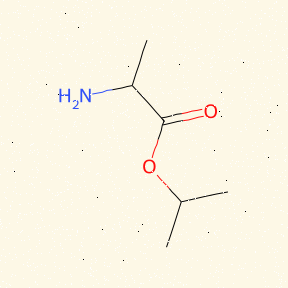 CC(C)OC(=O)C(C)N